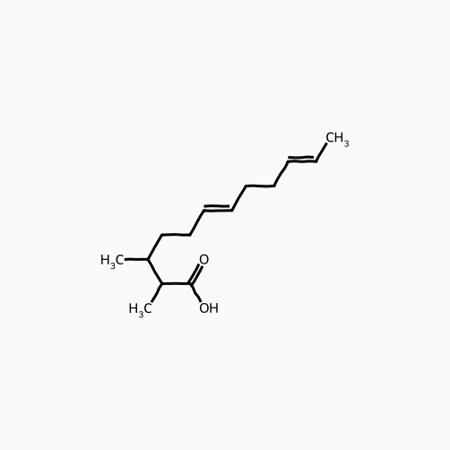 CC=CCCC=CCCC(C)C(C)C(=O)O